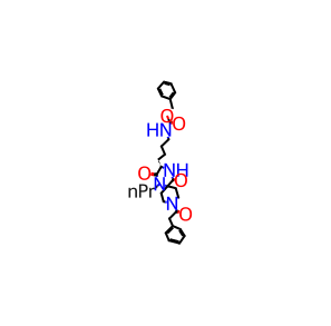 CCCN1C(=O)[C@H](CCCCNC(=O)OCc2ccccc2)NC(=O)C12CCN(C(=O)Cc1ccccc1)CC2